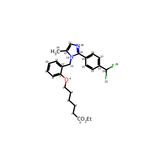 CCOC(=O)CCCCCOc1ccccc1Cn1c(C)cnc1-c1ccc(C(F)F)cc1